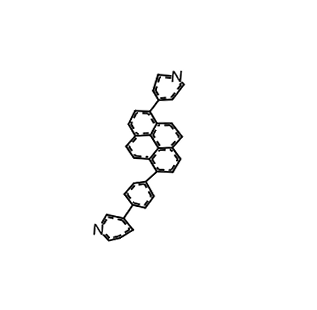 c1cncc(-c2ccc(-c3ccc4ccc5c(-c6ccncc6)ccc6ccc3c4c65)cc2)c1